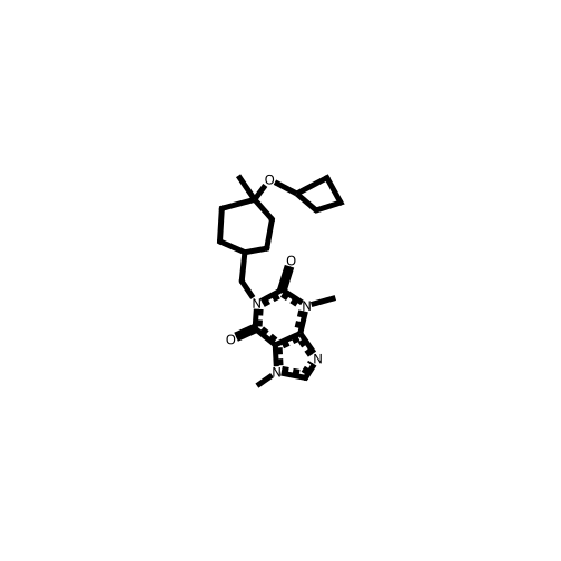 Cn1cnc2c1c(=O)n(CC1CCC(C)(OC3CCC3)CC1)c(=O)n2C